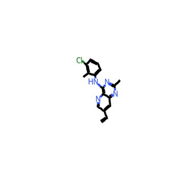 C=Cc1cnc2c(Nc3cccc(Cl)c3C)nc(C)nc2c1